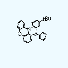 CC(C)(C)c1ccc2c(c1)B(c1ccccc1)c1cccc3c1N2c1ccccc1O3